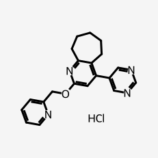 Cl.c1ccc(COc2cc(-c3cncnc3)c3c(n2)CCCCC3)nc1